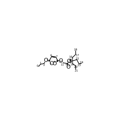 CCCOC(=O)/C=C\C(=O)OCC(=O)O[Si](CCC)(CCC)CCC